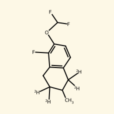 [2H]C1([2H])Cc2c(ccc(OC(F)F)c2F)C([2H])([2H])C1C